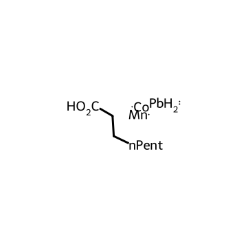 CCCCCCCC(=O)O.[Co].[Mn].[PbH2]